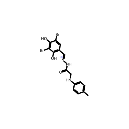 Cc1ccc(NCC(=O)N/N=C/c2cc(Br)c(O)c(Br)c2O)cc1